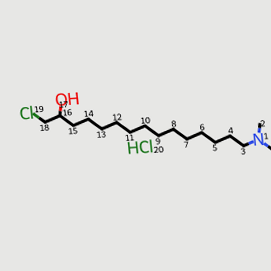 CN(C)CCCCCCCCCCCCCC(O)CCl.Cl